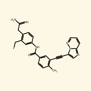 Cc1ccc(C(=O)Nc2ccc(CC(=N)N)c(CF)c2)cc1C#Cc1cnc2cccnn12